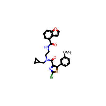 COc1cccc(-c2sc(Br)nc2C(=O)N(CCNC(=O)c2cccc3occc23)CC2CC2)c1